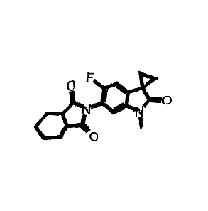 CN1C(=O)C2(CC2)c2cc(F)c(N3C(=O)C4CCCCC4C3=O)cc21